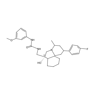 COc1cccc(NC(=O)NC[C@@](O)(CN2CCC(c3ccc(F)cc3)CC2C)C2CCCCC2)c1